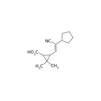 CC1(C)C(C=C(C#N)C2CCCC2)C1C(=O)O